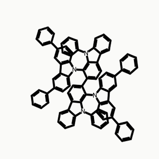 c1ccc(-c2ccc3c(c2)c2cc(-c4ccccc4)ccc2n3-c2c(-c3ccc4c5ccccc5n(-c5ccccc5)c4c3-n3c4ccc(-c5ccccc5)cc4c4cc(-c5ccccc5)ccc43)ccc3c4ccccc4n(-c4ccccc4)c23)cc1